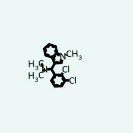 CN(C)C(c1cccc(Cl)c1Cl)c1cn(C)c2ccccc12